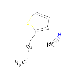 C#N.[CH3][Cu][c]1cccs1